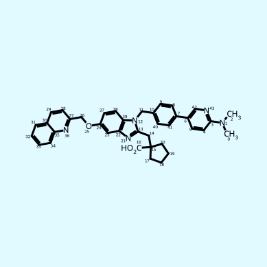 CN(C)c1ccc(-c2ccc(Cn3c(CC4(C(=O)O)CCCC4)nc4cc(OCc5ccc6ccccc6n5)ccc43)cc2)cn1